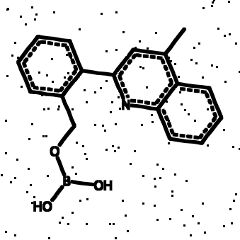 Cc1cc(-c2ccccc2COB(O)O)nc2ccccc12